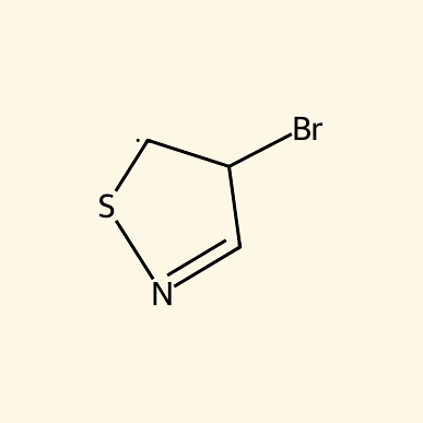 BrC1[CH]SN=C1